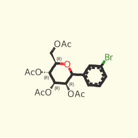 CC(=O)OC[C@H]1OC(c2cccc(Br)c2)[C@@H](OC(C)=O)[C@@H](OC(C)=O)[C@@H]1OC(C)=O